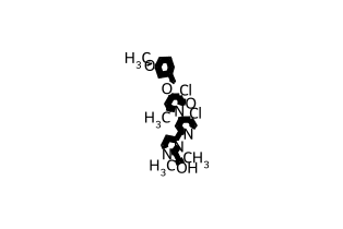 COc1cccc(COc2cc(C)n(-c3cc(-c4ccnc(C(C)(C)O)n4)ncc3Cl)c(=O)c2Cl)c1